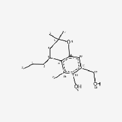 CCCC1CC(C)(C)Oc2cc(CO)c(O)c(C)c21